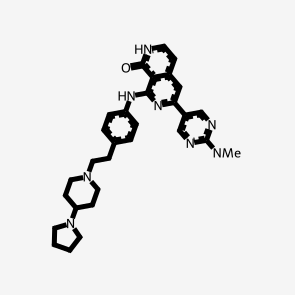 CNc1ncc(-c2cc3cc[nH]c(=O)c3c(Nc3ccc(CCN4CCC(N5CCCC5)CC4)cc3)n2)cn1